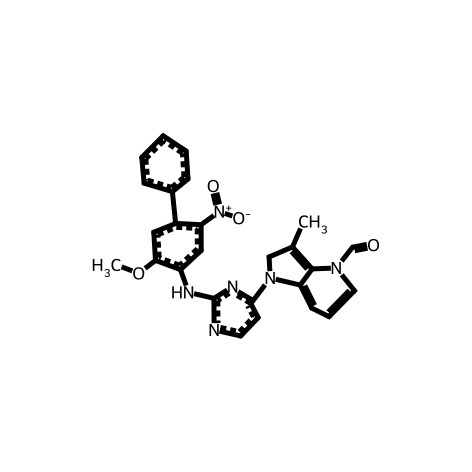 COc1cc(-c2ccccc2)c([N+](=O)[O-])cc1Nc1nccc(N2CC(C)=C3C2=CC=CN3C=O)n1